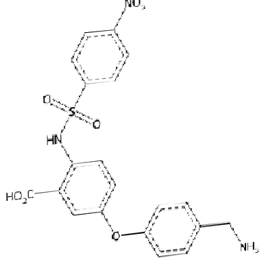 NCc1ccc(Oc2ccc(NS(=O)(=O)c3ccc([N+](=O)[O-])cc3)c(C(=O)O)c2)cc1